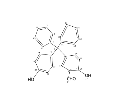 O=Cc1cc(C(c2ccccc2)(c2ccccc2)c2ccc(O)cc2)ccc1O